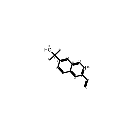 C=Cc1cc2ccc(C(C)(C)O)cc2cn1